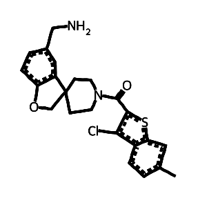 Cc1ccc2c(Cl)c(C(=O)N3CCC4(CC3)COc3ccc(CN)cc34)sc2c1